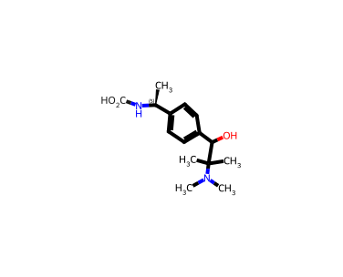 C[C@H](NC(=O)O)c1ccc(C(O)C(C)(C)N(C)C)cc1